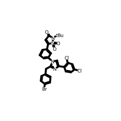 CC(C)(C)N1C(=O)C=C(c2cccc(-n3cc(-c4ccc(Cl)cc4Cl)nc3Cc3ccc(Br)cc3)c2)S1(=O)=O